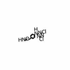 N=COCc1ccc(Nc2nc(Cl)nc(Cl)n2)cc1